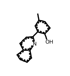 Cc1ccc(O)c(-c2ccc3ccccc3n2)c1